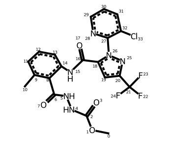 COC(=O)NNC(=O)c1c(C)cccc1NC(=O)c1cc(C(F)(F)F)nn1-c1ncccc1Cl